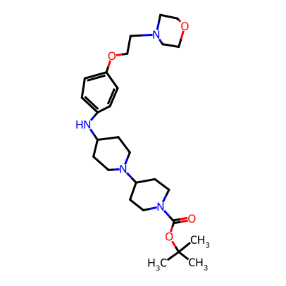 CC(C)(C)OC(=O)N1CCC(N2CCC(Nc3ccc(OCCN4CCOCC4)cc3)CC2)CC1